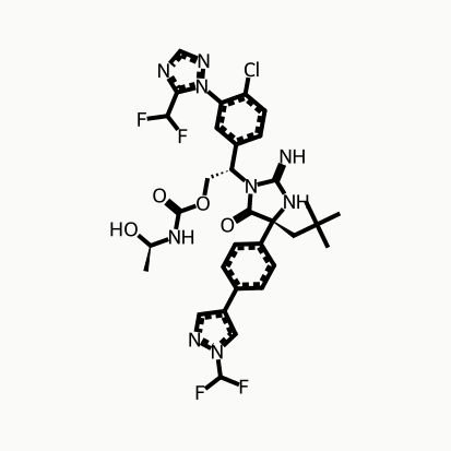 C[C@@H](O)NC(=O)OC[C@H](c1ccc(Cl)c(-n2ncnc2C(F)F)c1)N1C(=N)N[C@](CC(C)(C)C)(c2ccc(-c3cnn(C(F)F)c3)cc2)C1=O